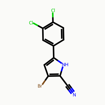 N#Cc1[nH]c(-c2ccc(Cl)c(Cl)c2)cc1Br